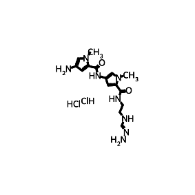 Cl.Cl.Cn1cc(NC(=O)c2cc(N)cn2C)cc1C(=O)NCCNC=NN